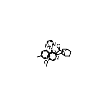 COc1cnc(C(=O)N2C3CCC2C(COc2ccc(C)cn2)C3)c(-n2nccn2)c1